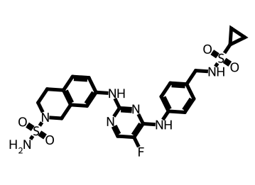 NS(=O)(=O)N1CCc2ccc(Nc3ncc(F)c(Nc4ccc(CNS(=O)(=O)C5CC5)cc4)n3)cc2C1